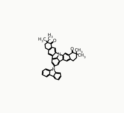 CC1(C)CCc2cc3c4cc(-n5c6ccccc6c6ccccc65)cc5c6cc7c(cc6n(c3cc2C1=O)c45)C(=O)C(C)(C)CC7